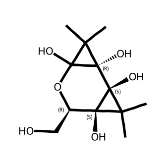 CC1(C)C2(O)O[C@H](CO)[C@@]3(O)C(C)(C)[C@@]3(O)[C@]12O